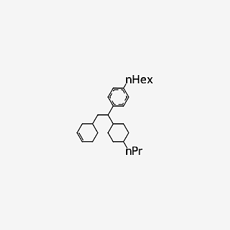 CCCCCCc1ccc(C(CC2CC=CCC2)C2CCC(CCC)CC2)cc1